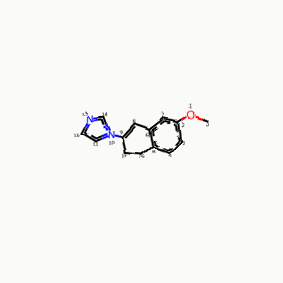 COc1ccc2c(c1)C=C(n1ccnc1)CC2